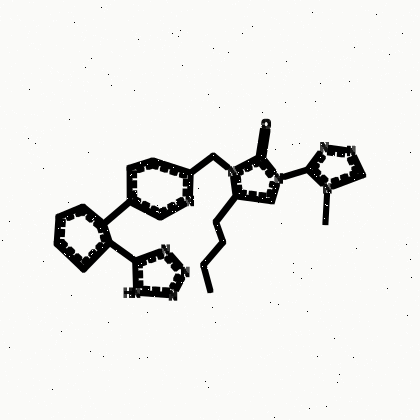 CCCCc1cn(-c2nncn2C)c(=O)n1Cc1ccc(-c2ccccc2-c2nnn[nH]2)cn1